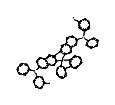 Fc1cccc(N(c2ccccc2)c2ccc3cc4c(cc3c2)C2(c3ccccc3-c3ccccc32)c2cc3cc(N(c5ccccc5)c5cccc(F)c5)ccc3cc2-4)c1